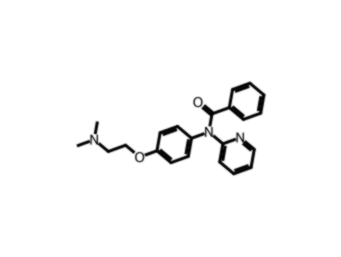 CN(C)CCOc1ccc(N(C(=O)c2ccccc2)c2ccccn2)cc1